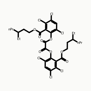 CCCC(CC)CCOC(=O)c1c(Cl)c(Cl)cc(Cl)c1OC(=O)C(=O)Oc1c(Cl)cc(Cl)c(Cl)c1C(=O)OCCC(CC)CCC